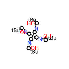 CC(C)(C)c1cccc(/C=N/c2ccc(C(c3ccc(/N=C/c4cccc(C(C)(C)C)c4O)cc3)(c3ccc(/N=C/c4cccc(C(C)(C)C)c4O)cc3)c3ccc(/N=C/c4cccc(C(C)(C)C)c4O)cc3)cc2)c1O